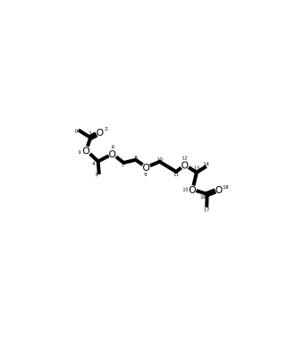 CC(=O)OC(C)OCCOCCOC(C)OC(C)=O